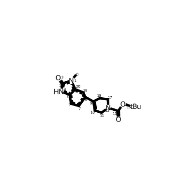 Cn1c(=O)[nH]c2ccc(C3=CCN(C(=O)OC(C)(C)C)CC3)cc21